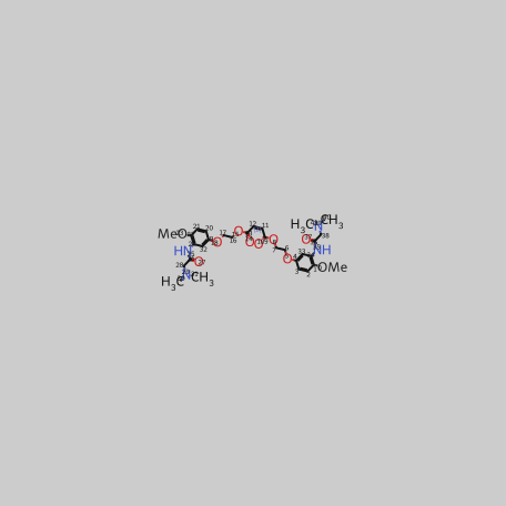 COc1ccc(OCCOC(=O)/C=C\C(=O)OCCOc2ccc(OC)c(NC(=O)CN(C)C)c2)cc1NC(=O)CN(C)C